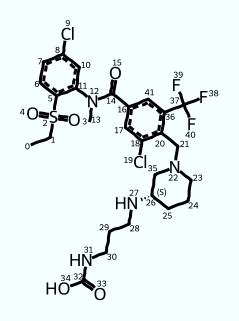 CCS(=O)(=O)c1ccc(Cl)cc1N(C)C(=O)c1cc(Cl)c(CN2CCC[C@H](NCCCNC(=O)O)C2)c(C(F)(F)F)c1